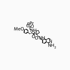 CCCOC(=O)CN[C@H](Cc1ccc(OC)cc1)C(=O)N1CCC[C@H]1C(=O)NCc1ccc2c(N)nccc2c1